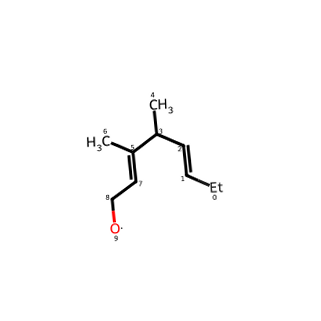 CCC=CC(C)C(C)=CC[O]